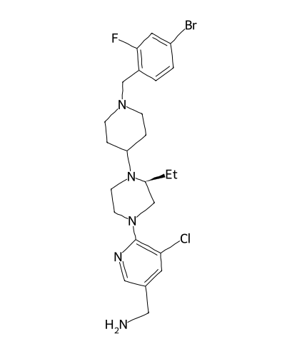 CC[C@H]1CN(c2ncc(CN)cc2Cl)CCN1C1CCN(Cc2ccc(Br)cc2F)CC1